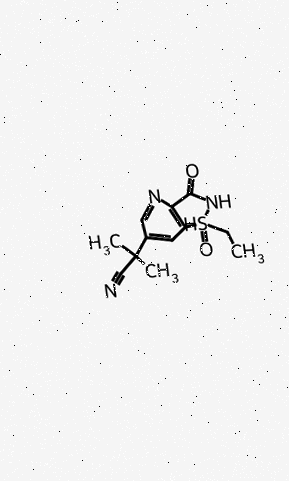 CC[SH]1(=O)NC(=O)c2ncc(C(C)(C)C#N)cc21